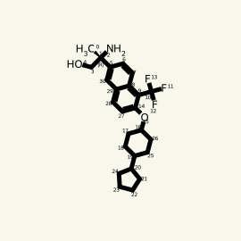 C[C@](N)(CO)c1ccc2c(C(F)(F)F)c(OC3CCC(C4CCCC4)CC3)ccc2c1